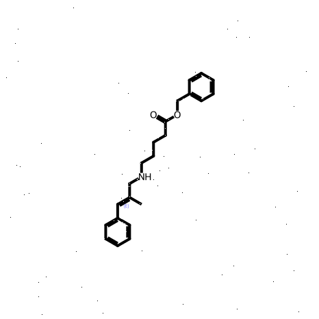 C/C(=C\c1ccccc1)CNCCCCC(=O)OCc1ccccc1